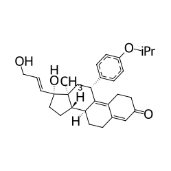 CC(C)Oc1ccc([C@H]2C[C@@]3(C)[C@@H](CC[C@@]3(O)/C=C/CO)[C@@H]3CCC4=CC(=O)CCC4=C32)cc1